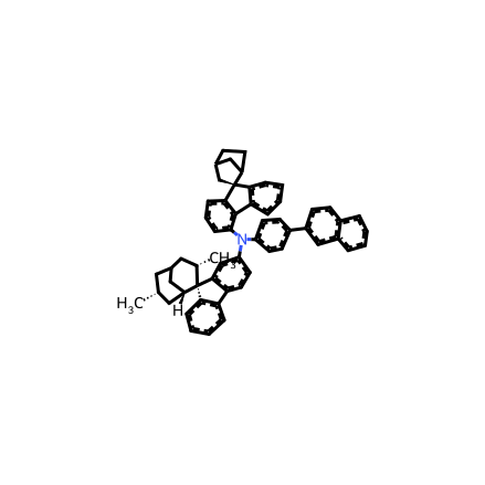 C[C@@H]1CC2C[C@@H](C1)[C@@]1(c3ccccc3-c3ccc(N(c4ccc(-c5ccc6ccccc6c5)cc4)c4cccc5c4-c4ccccc4[C@]54CC5CCC4C5)cc31)[C@@H](C)C2